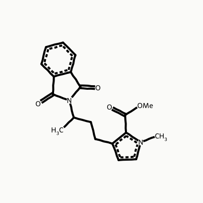 COC(=O)c1c(CCC(C)N2C(=O)c3ccccc3C2=O)ccn1C